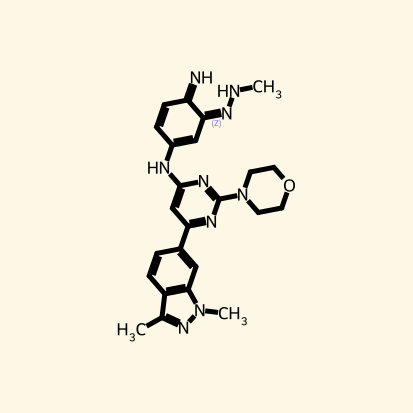 CN/N=C1/C=C(Nc2cc(-c3ccc4c(C)nn(C)c4c3)nc(N3CCOCC3)n2)C=CC1=N